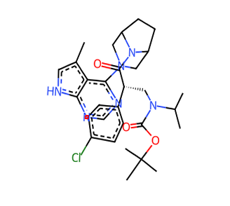 Cc1c[nH]c2ncnc(N3CC4CCC(C3)N4C(=O)[C@H](CN(C(=O)OC(C)(C)C)C(C)C)c3ccc(Cl)cc3)c12